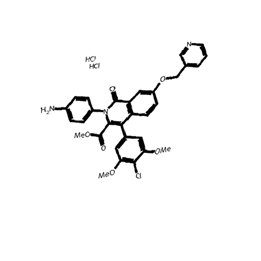 COC(=O)c1c(-c2cc(OC)c(Cl)c(OC)c2)c2ccc(OCc3cccnc3)cc2c(=O)n1-c1ccc(N)cc1.Cl.Cl